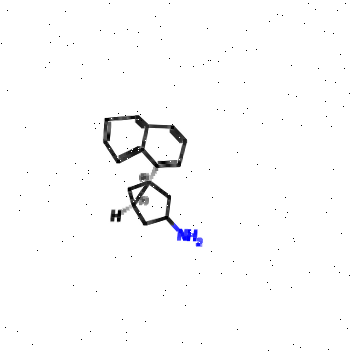 NC1C[C@H]2C[C@@]2(c2cccc3ccccc23)C1